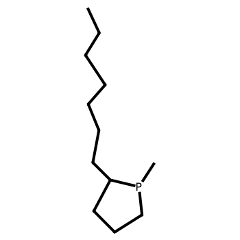 CCCCCCCC1CCCP1C